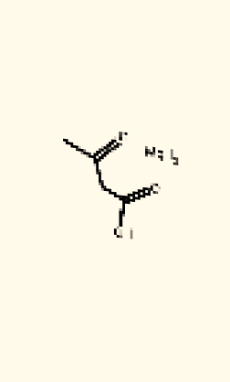 CC(=O)CC(=O)O.[MgH2]